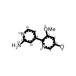 COc1cc(Cl)cnc1-c1ccnc(N)c1